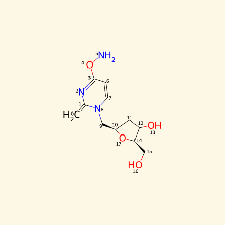 C=C1N=C(ON)C=CN1C[C@H]1CC(O)[C@@H](CO)O1